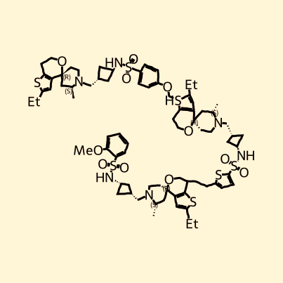 CCC1=CC2=C(CCO[C@@]23CCN(C[C@H]2C[C@@H](NS(=O)(=O)c4ccc(CCC5CO[C@@]6(CCN(C[C@H]7C[C@@H](NS(=O)(=O)c8ccccc8OC)C7)[C@@H](C)C6)c6cc(CC)sc65)s4)C2)[C@@H](C)C3)[SH]1COc1ccc(S(=O)(=O)N[C@H]2C[C@@H](CN3CC[C@]4(C[C@@H]3C)OCCc3sc(CC)cc34)C2)cc1